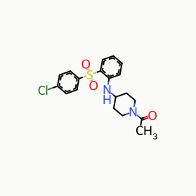 CC(=O)N1CCC(Nc2ccccc2S(=O)(=O)c2ccc(Cl)cc2)CC1